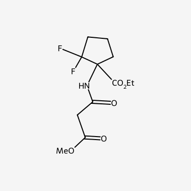 CCOC(=O)C1(NC(=O)CC(=O)OC)CCCC1(F)F